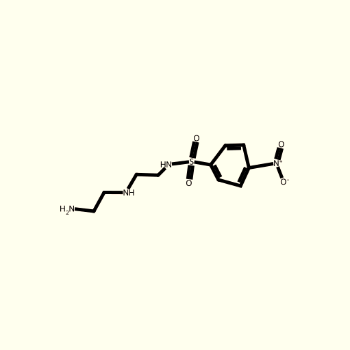 NCCNCCNS(=O)(=O)c1ccc([N+](=O)[O-])cc1